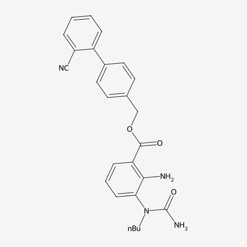 CCCCN(C(N)=O)c1cccc(C(=O)OCc2ccc(-c3ccccc3C#N)cc2)c1N